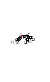 CS(=O)(=O)N1CCN(C(=O)N2CC(CS(=O)(=O)c3ccc(Cl)cc3)[C@@H](c3ccc(Cl)c(Cl)c3)C2)CC1